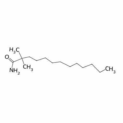 CCCCCCCCCCCC(C)(C)C(N)=O